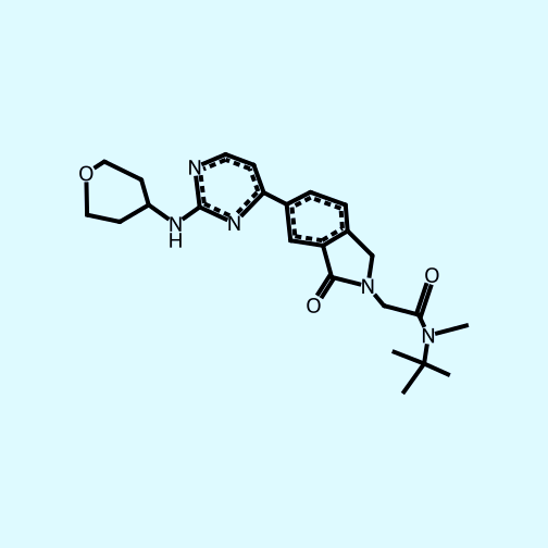 CN(C(=O)CN1Cc2ccc(-c3ccnc(NC4CCOCC4)n3)cc2C1=O)C(C)(C)C